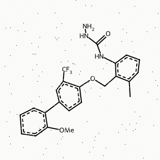 COc1ccccc1-c1ccc(OCc2c(C)cccc2NC(=O)NN)c(C(F)(F)F)c1